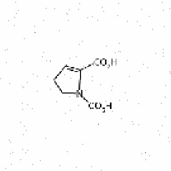 O=C(O)C1=CCCN1C(=O)O